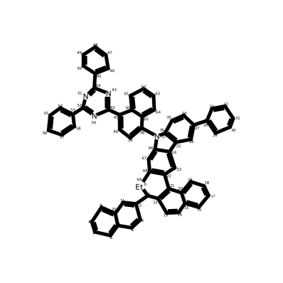 CCC(c1ccc2ccccc2c1)c1ccc2ccccc2c1-c1cc2c3cc(-c4ccccc4)ccc3n(-c3ccc(-c4nc(-c5ccccc5)nc(-c5ccccc5)n4)c4ccccc34)c2cc1C